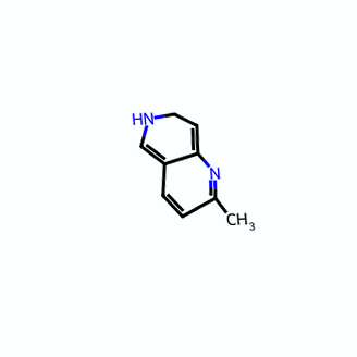 Cc1ccc2c(n1)=CCNC=2